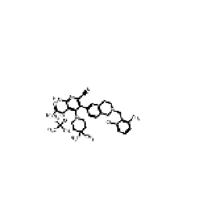 Cc1cccc(Cl)c1CN1CCc2cc(-c3c(C#N)nc(C)c([C@H](OC(C)(C)C)C(=O)O)c3N3CCC(C)(C)CC3)ccc2C1